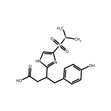 CN(C)S(=O)(=O)c1c[nH]c(C(CC(=O)O)Cc2ccc(O)cc2)n1